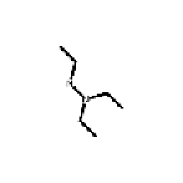 CC[N]N(CC)CC